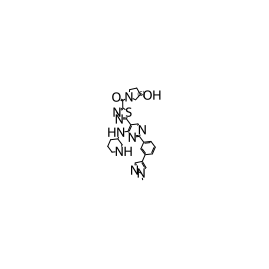 Cn1cc(-c2cccc(-c3ncc(-c4nnc(C(=O)N5CC[C@H](O)C5)s4)c(NC4CCCNC4)n3)c2)cn1